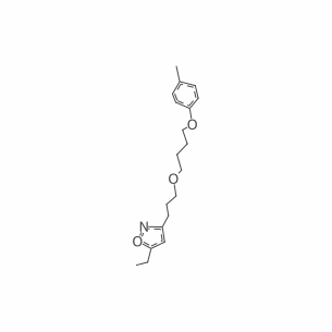 CCc1cc(CCCOCCCCOc2ccc(C)cc2)no1